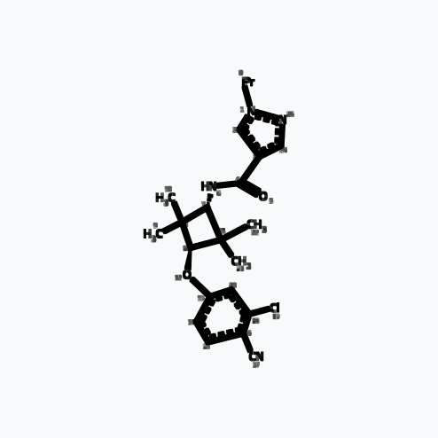 CC(C)n1cc(C(=O)N[C@H]2C(C)(C)[C@H](Oc3ccc(C#N)c(Cl)c3)C2(C)C)cn1